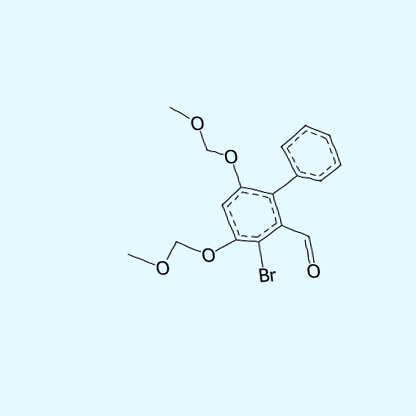 COCOc1cc(OCOC)c(-c2ccccc2)c(C=O)c1Br